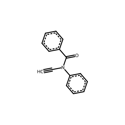 C#CN(C(=O)c1ccccc1)c1ccccc1